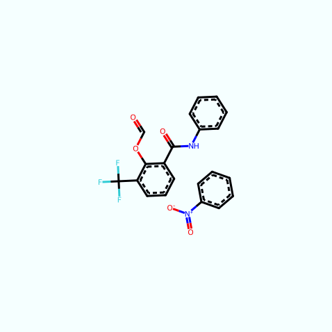 O=COc1c(C(=O)Nc2ccccc2)cccc1C(F)(F)F.O=[N+]([O-])c1ccccc1